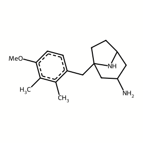 COc1ccc(CC23CCC(CC(N)C2)N3)c(C)c1C